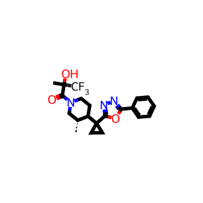 C[C@@H]1CN(C(=O)C(C)(O)C(F)(F)F)CCC1C1(c2nnc(-c3ccccc3)o2)CC1